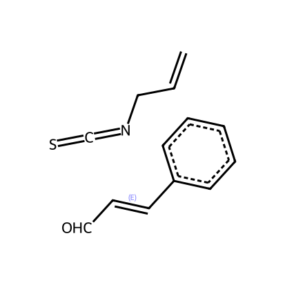 C=CCN=C=S.O=C/C=C/c1ccccc1